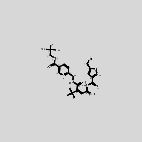 CC(C)(C)/C(=C/C(=N)NC(=N)c1cc(CO)on1)C(=N)OCc1ccc(C(=O)NCC(F)(F)F)cn1